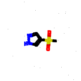 CS(=O)(=O)c1cn[nH]c1